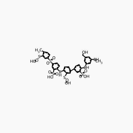 CBc1cc(Bc2ccc(-c3ccc(Bc4ccc(S(=O)(=O)c5ccc(C)c(SOO)c5)cc4S(=O)(=O)O)c(SOO)c3)cc2S(=O)(=O)O)cc(CO)c1